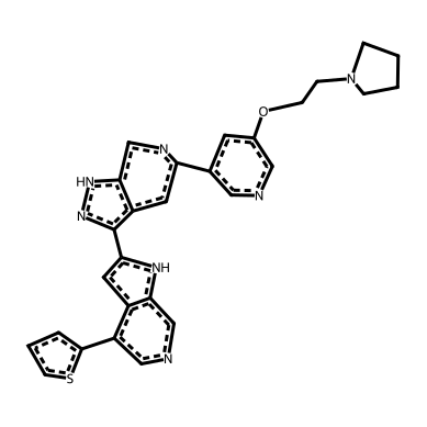 c1csc(-c2cncc3[nH]c(-c4n[nH]c5cnc(-c6cncc(OCCN7CCCC7)c6)cc45)cc23)c1